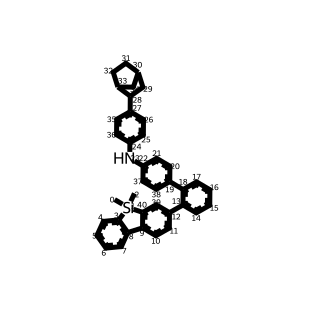 C[Si]1(C)c2ccccc2-c2ccc(-c3ccccc3-c3ccc(Nc4ccc(C5CC6CCC5C6)cc4)cc3)cc21